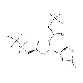 CN1CC[C@H]([C@@H]2C[C@@H](O[Si](C)(C)C(C)(C)C)CN2C(=O)OC(C)(C)C)O1